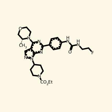 CCOC(=O)N1CCC(n2ncc3c(N4CCOC[C@H]4C)nc(-c4ccc(NC(=O)NCCF)cc4)nc32)CC1